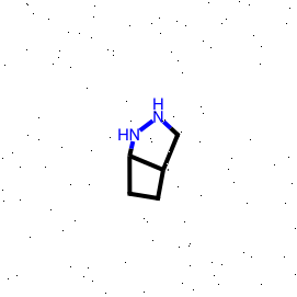 C1CC2NNC[C]12